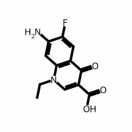 CCn1cc(C(=O)O)c(=O)c2cc(F)c(N)cc21